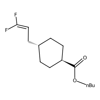 CCCCOC(=O)[C@H]1CC[C@H](CC=C(F)F)CC1